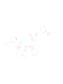 COc1cccc(C=CC(=O)NCC(=O)N(C)N2c3c(OCc4c(Cl)cccc4Cl)cccc3SC2c2ccccc2)c1